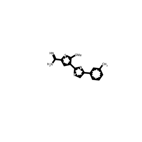 CSc1sc(C(=N)N)cc1-c1nc(-c2cccc(C)c2)cs1